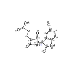 O=C(O)CCN1C(=O)N/C(=C2\C(=O)Nc3ccc(Cl)cc32)C1=O